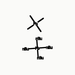 CCC[CH2][Pb]([CH2]CCC)([CH2]CCC)[CH2]CCC.[CH3][Pb]([CH3])([CH3])[CH3]